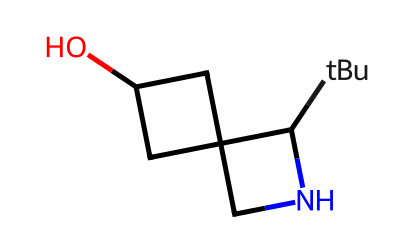 CC(C)(C)C1NCC12CC(O)C2